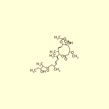 CCC(O)C(C)C1OC1CC(C)/C=C/C=C(\C)C1OC(=O)CC(OC)CCC(C)(O)C(OC(C)=O)/C=C/C1C